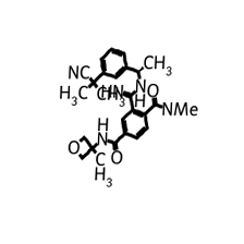 CNC(=O)c1ccc(C(=O)NC2(C)COC2)cc1C(=N)N[C@H](C)c1cccc(C(C)(C)C#N)c1